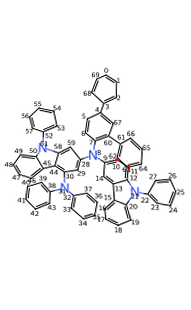 c1ccc(-c2ccc(N(c3ccc4c(c3)c3ccccc3n4-c3ccccc3)c3cc(N(c4ccccc4)c4ccccc4)c4c5ccccc5n(-c5ccccc5)c4c3)c(-c3ccccc3)c2)cc1